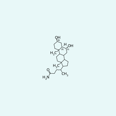 CC(CCC(N)=O)C1CCC2C3C[C@H](O)[C@@H]4C[C@H](O)CCC4(C)C3CCC12C